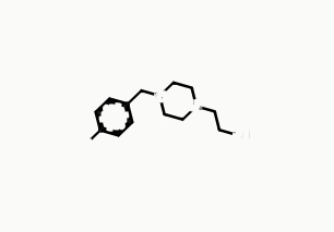 Fc1ccc(CN2CCN(CCS)CC2)cc1